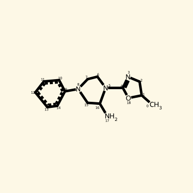 CC1CN=C(N2CCN(c3ccccc3)CC2N)O1